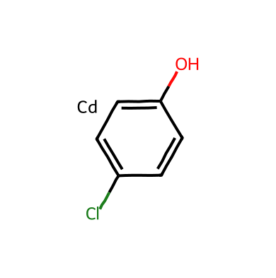 Oc1ccc(Cl)cc1.[Cd]